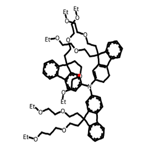 CCOCCCOCCC1(CCOCCOCC)c2ccccc2-c2ccc(N(C3=CC4=C(CC3)c3ccccc3C4(CCOCCOCC)CCOCCOCC)c3ccc4c(c3)C(CCOCCOCC)(CCOCCOCC)c3ccccc3-4)cc21